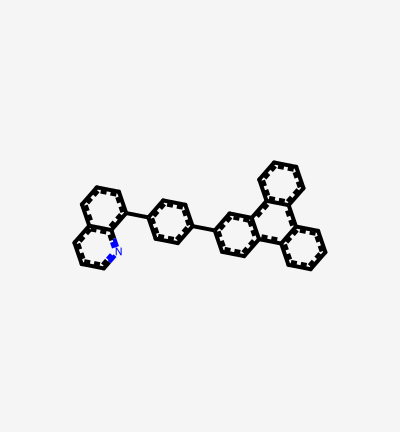 c1cnc2c(-c3ccc(-c4ccc5c6ccccc6c6ccccc6c5c4)cc3)cccc2c1